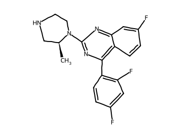 C[C@H]1CNCCN1c1nc(-c2ccc(F)cc2F)c2ccc(F)cc2n1